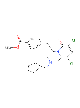 CN(Cc1c(Cl)cc(Cl)c(=O)n1CCc1ccc(C(=O)OC(C)(C)C)cc1)CC1CCCC1